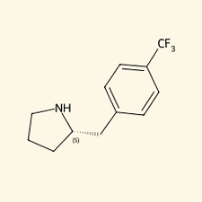 FC(F)(F)c1ccc(C[C@@H]2CCCN2)cc1